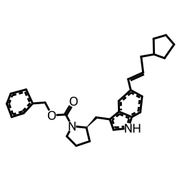 O=C(OCc1ccccc1)N1CCC[C@@H]1Cc1c[nH]c2ccc(C=CCC3CCCC3)cc12